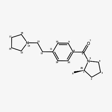 C[C@@H]1CCCN1C(=O)c1ccc(CCN2CCCC2)cc1